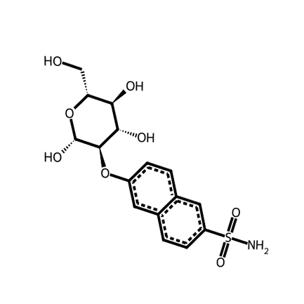 NS(=O)(=O)c1ccc2cc(O[C@@H]3[C@@H](O)[C@H](O)[C@@H](CO)O[C@H]3O)ccc2c1